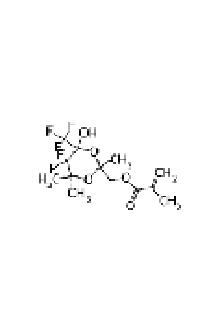 C=C(C)C(=O)OCC1(C)OC(C)(C)C(F)(F)C(O)(C(F)(F)F)O1